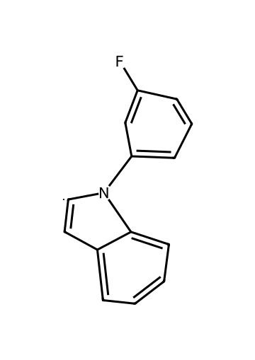 Fc1cccc(-n2[c]cc3ccccc32)c1